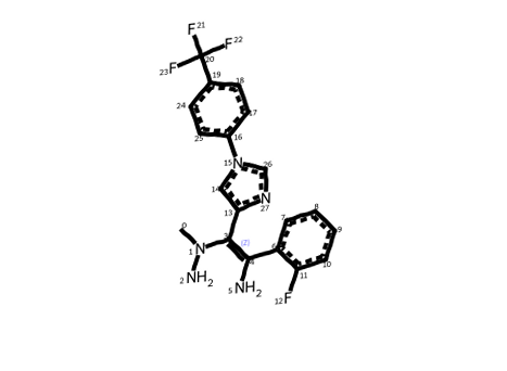 CN(N)/C(=C(\N)c1ccccc1F)c1cn(-c2ccc(C(F)(F)F)cc2)cn1